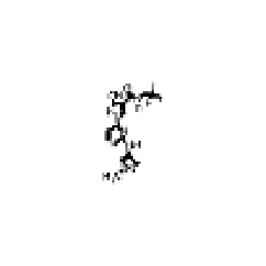 Cc1nn(-c2ccnc(Nc3cnn(C)c3)n2)cc1C(=O)NCC(F)(F)F